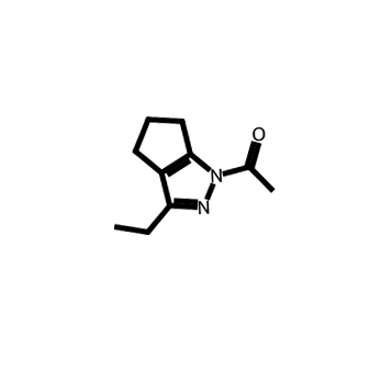 CCc1nn(C(C)=O)c2c1CCC2